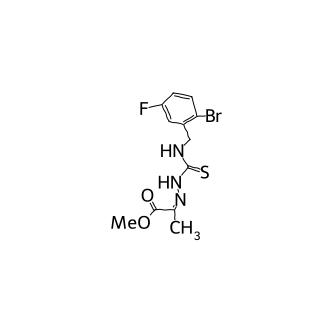 COC(=O)C(C)=NNC(=S)NCc1cc(F)ccc1Br